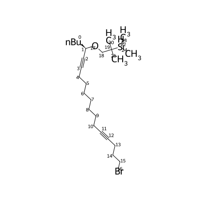 CCCC[C@H](C#CCCCCCCCC#CCCCBr)OCC(C)(C)[SiH](C)C